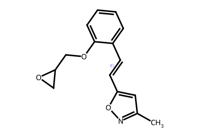 Cc1cc(/C=C/c2ccccc2OCC2CO2)on1